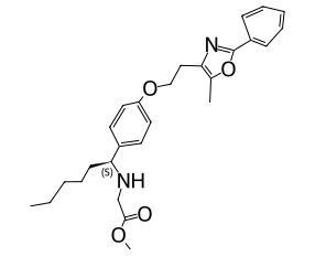 CCCCC[C@H](NCC(=O)OC)c1ccc(OCCc2nc(-c3ccccc3)oc2C)cc1